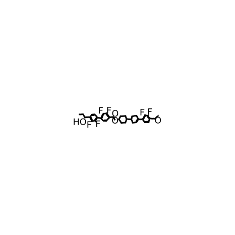 CCC(O)c1ccc(-c2ccc(C(=O)OC3CCC(C4CC=C(c5ccc(C6CO6)c(F)c5F)CC4)CC3)c(F)c2F)c(F)c1F